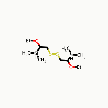 CCOC(CSSCC(OCC)[SiH](C)C)[SiH](C)C